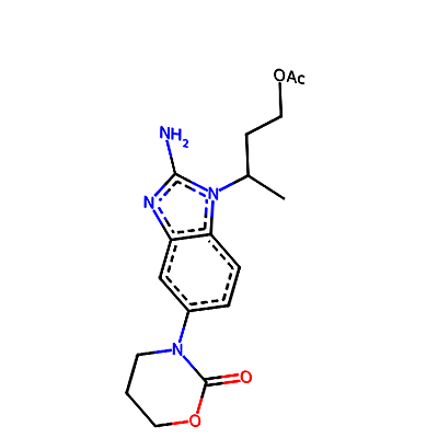 CC(=O)OCCC(C)n1c(N)nc2cc(N3CCCOC3=O)ccc21